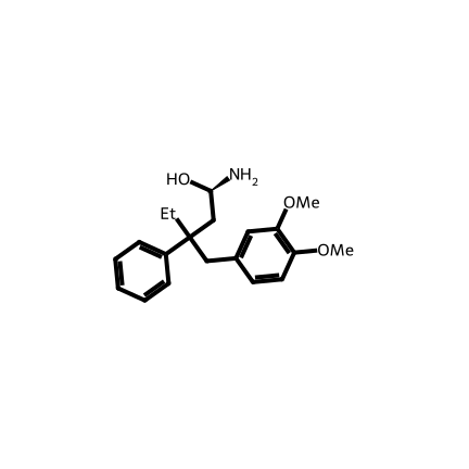 CCC(Cc1ccc(OC)c(OC)c1)(C[C@H](N)O)c1ccccc1